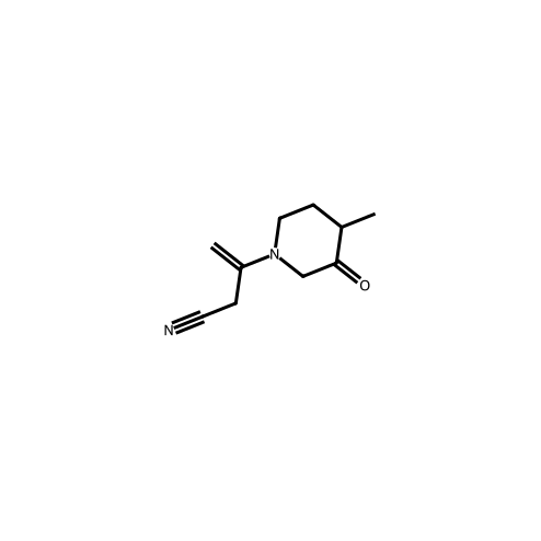 C=C(CC#N)N1CCC(C)C(=O)C1